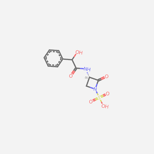 O=C(N[C@H]1CN(S(=O)(=O)O)C1=O)C(O)c1ccccc1